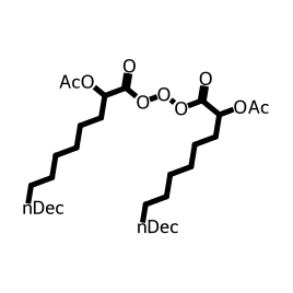 CCCCCCCCCCCCCCCCC(OC(C)=O)C(=O)OOOC(=O)C(CCCCCCCCCCCCCCCC)OC(C)=O